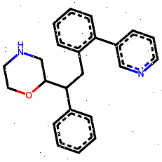 c1ccc(C(Cc2ccccc2-c2cccnc2)C2CNCCO2)cc1